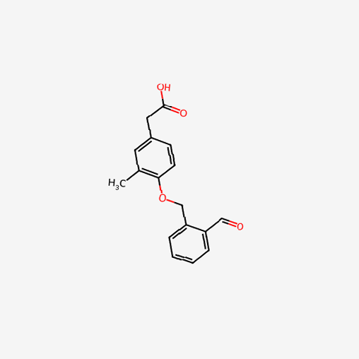 Cc1cc(CC(=O)O)ccc1OCc1ccccc1C=O